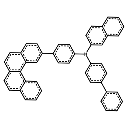 c1ccc(-c2ccc(N(c3ccc(-c4ccc5ccc6ccc7ccccc7c6c5c4)cc3)c3ccc4ccccc4c3)cc2)cc1